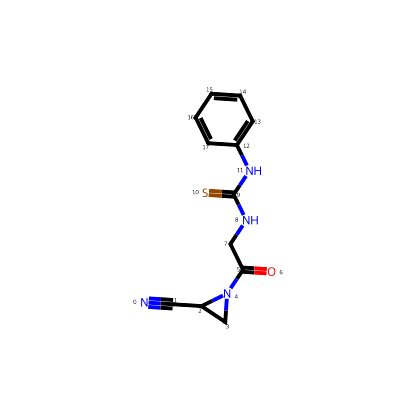 N#CC1CN1C(=O)CNC(=S)Nc1ccccc1